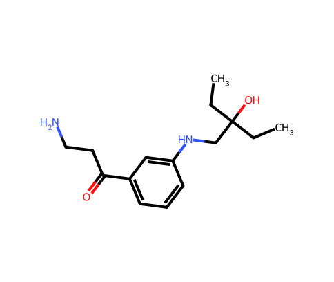 CCC(O)(CC)CNc1cccc(C(=O)CCN)c1